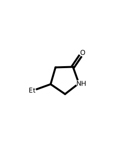 CCC1CNC(=O)C1